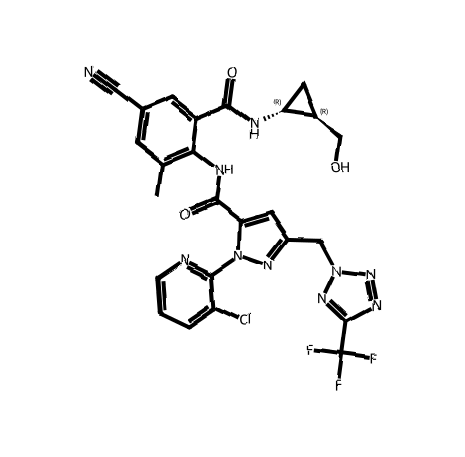 Cc1cc(C#N)cc(C(=O)N[C@@H]2C[C@H]2CO)c1NC(=O)c1cc(Cn2nnc(C(F)(F)F)n2)nn1-c1ncccc1Cl